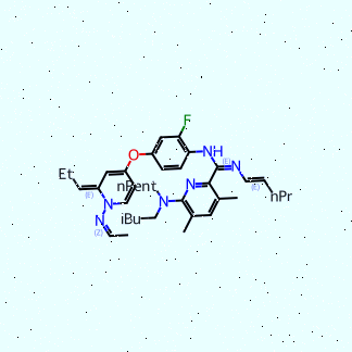 C/C=N\N1C=CC(Oc2ccc(N/C(=N/C=C/CCC)c3nc(N(CCCCC)CC(C)CC)c(C)cc3C)c(F)c2)=C/C1=C\CC